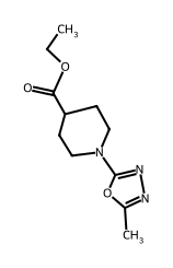 CCOC(=O)C1CCN(c2nnc(C)o2)CC1